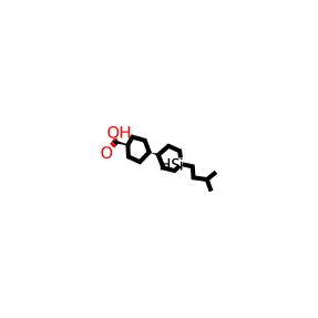 CC(C)CC[SiH]1CCC([C@H]2CC[C@H](C(=O)O)CC2)CC1